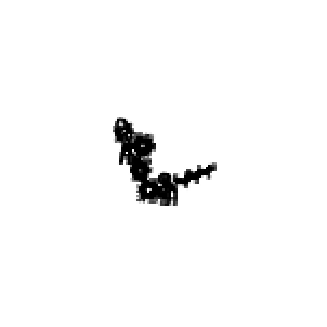 CCCCCCCNC(=O)N(C)c1cccc(-c2ccc(Nc3ccccc3C(=O)N3CCOCC3)cc2)c1